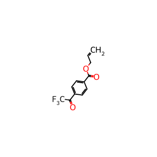 C=CCOC(=O)c1ccc(C(=O)C(F)(F)F)cc1